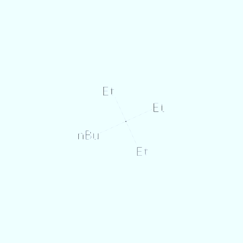 [CH2]CC(CC)(CC)CCCC